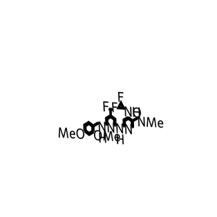 CNC(=O)c1cnc(Nc2cc(C(F)F)cc(NCc3ccc(OC)cc3OC)n2)cc1N[C@H]1C[C@H]1F